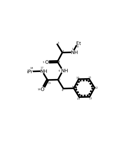 CCNC(C)C(=O)NC(Cc1ccccc1)C(=O)NC(C)C